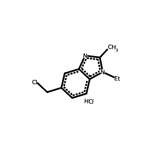 CCn1c(C)nc2cc(CCl)ccc21.Cl